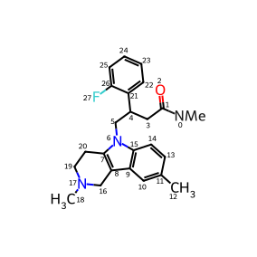 CNC(=O)CC(Cn1c2c(c3cc(C)ccc31)CN(C)CC2)c1ccccc1F